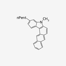 CCCCCc1ccc2c3c4cc5ccccc5cc4ccc3n(C)c2c1